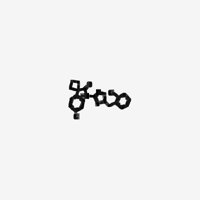 O=C(Nc1ncc(Cc2ccccc2Cl)s1)C1(c2ccc(Cl)cc2)CCC1